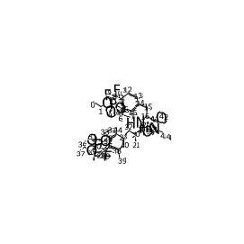 CCOP(=O)(OCC)C(F)(F)c1ccc(C[C@H](NC(=O)[C@@H](C)Cc2ccc(C(F)(F)P(=O)(OCC)OCC)c(C)c2)C(=O)NC)cc1C